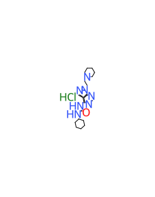 Cl.O=C(Nc1ncnc2c1cnn2CCN1CCCCC1)NC1CCCCC1